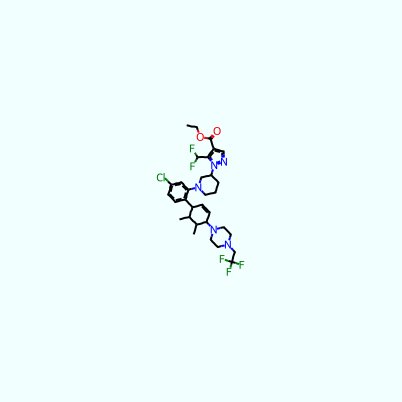 CCOC(=O)c1cnn(C2CCCN(c3cc(Cl)ccc3C3C=CC(N4CCN(CC(F)(F)F)CC4)C(C)C3C)C2)c1C(F)F